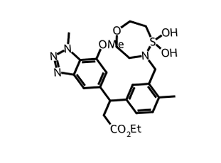 CCOC(=O)CC(c1ccc(C)c(CN2CCOCCS2(O)O)c1)c1cc(OC)c2c(c1)nnn2C